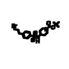 CC(C)(C)OC(=O)N1CCC(NS(=O)(=O)c2ccc(CCCBr)cc2)CC1